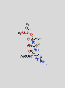 CCOCC(COCC)OC(=O)C1=CCS[C@@H]2C(NC(=O)/C(=N\OC)c3csc(N)n3)C(=O)N12